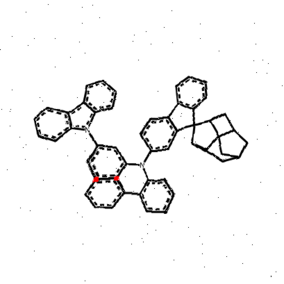 c1ccc(-c2ccccc2N(c2cccc(-n3c4ccccc4c4ccccc43)c2)c2ccc3c(c2)C2(c4ccccc4-3)C3CC4CC5CC2C5(C4)C3)cc1